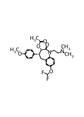 COc1ccc([C@@H]2Cc3cc(OC(F)F)ccc3N(CCN(C)C)C(=O)[C@@H]2OC(C)=O)cc1